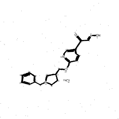 Cl.O=C(/C=N/O)c1ccc(OCC2CCN(Cc3ccccc3)C2)nc1